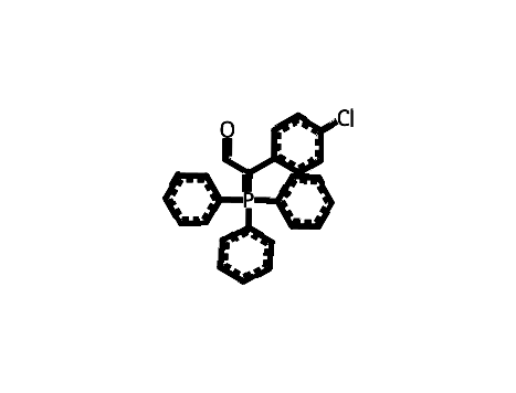 O=CC(c1ccc(Cl)cc1)=P(c1ccccc1)(c1ccccc1)c1ccccc1